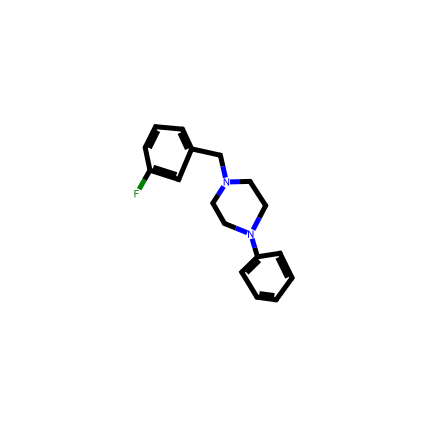 Fc1cccc(CN2CCN(c3ccccc3)CC2)c1